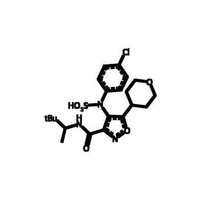 CC(NC(=O)c1noc(C2CCOCC2)c1N(c1ccc(Cl)cc1)S(=O)(=O)O)C(C)(C)C